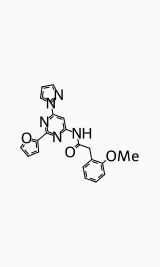 COc1ccccc1CC(=O)Nc1cc(-n2cccn2)nc(-c2ccco2)n1